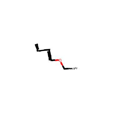 C=C/C=C/OCCCC